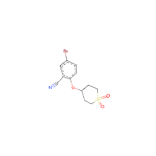 N#Cc1cc(Br)ccc1OC1CCS(=O)(=O)CC1